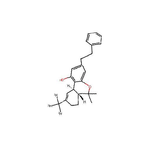 [2H]C([2H])([2H])C1=C[C@H]2c3c(O)cc(CCc4ccccc4)cc3OC(C)(C)[C@@H]2CC1